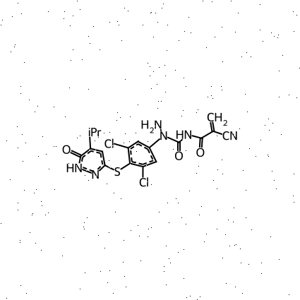 C=C(C#N)C(=O)NC(=O)N(N)c1cc(Cl)c(Sc2cc(C(C)C)c(=O)[nH]n2)c(Cl)c1